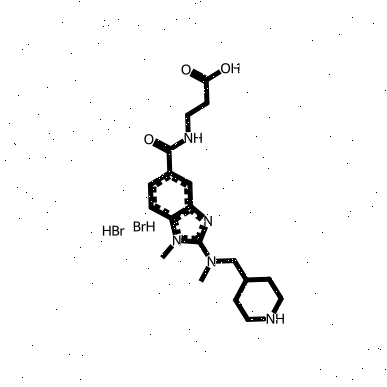 Br.Br.CN(CC1CCNCC1)c1nc2cc(C(=O)NCCC(=O)O)ccc2n1C